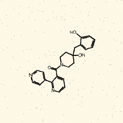 O=C(c1cccnc1-c1ccncc1)N1CCC(O)(Cc2ccccc2O)CC1